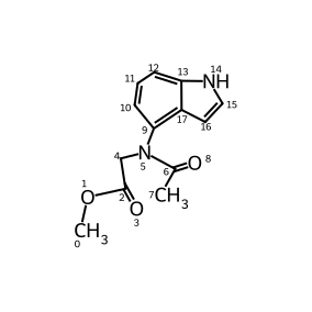 COC(=O)CN(C(C)=O)c1cccc2[nH]ccc12